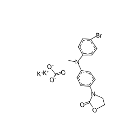 CN(c1ccc(Br)cc1)c1ccc(N2CCOC2=O)cc1.O=C([O-])[O-].[K+].[K+]